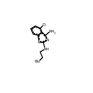 CC(C)(C)CCNc1nc(N)c2c(Cl)cccc2n1